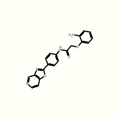 Cc1ccccc1OCC(=O)Nc1ccc(-c2nc3cnccc3o2)cc1